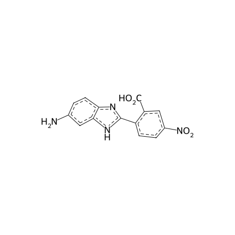 Nc1ccc2nc(-c3ccc([N+](=O)[O-])cc3C(=O)O)[nH]c2c1